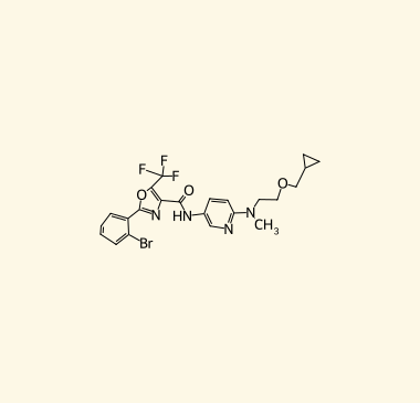 CN(CCOCC1CC1)c1ccc(NC(=O)c2nc(-c3ccccc3Br)oc2C(F)(F)F)cn1